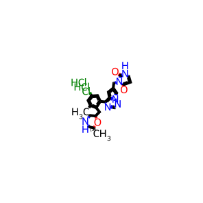 Cc1cc(Cl)cc(-c2ncnn3cc(Cn4c(=O)cc[nH]c4=O)cc23)c1CC1CNC[C@H](C)O1.Cl.Cl